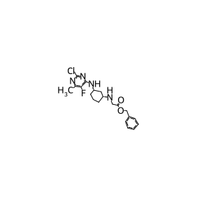 Cc1nc(Cl)nc(N[C@@H]2CCC[C@H](NCC(=O)OCc3ccccc3)C2)c1F